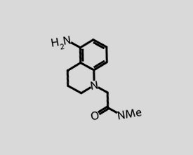 CNC(=O)CN1CCCc2c(N)cccc21